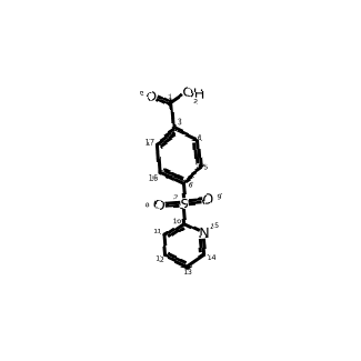 O=C(O)c1ccc(S(=O)(=O)c2ccccn2)cc1